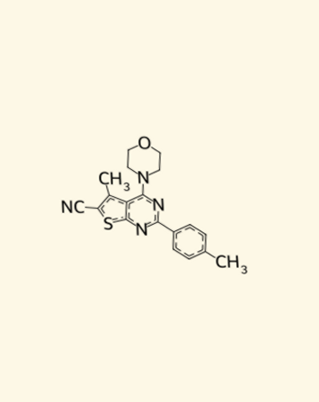 Cc1ccc(-c2nc(N3CCOCC3)c3c(C)c(C#N)sc3n2)cc1